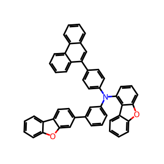 c1cc(-c2ccc3c(c2)oc2ccccc23)cc(N(c2ccc(-c3cc4ccccc4c4ccccc34)cc2)c2cccc3oc4ccccc4c23)c1